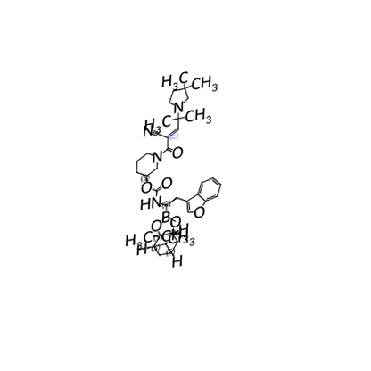 CC1(C)CCN(C(C)(C)/C=C(\C#N)C(=O)N2CCC[C@H](OC(=O)N[C@@H](Cc3coc4ccccc34)B3O[C@@H]4C[C@@H]5C[C@@H](C5(C)C)[C@]4(C)O3)C2)C1